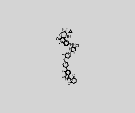 C[C@H]1CN(c2ncc(Cl)c(Nc3ccc4c(c3)c3c(c(=O)n4C)OCC(F)(F)[C@H](C4CC4)N3)n2)CC[C@H]1CN1CCC(c2ccc3c(N4C(=O)CCCC4=O)nn(C)c3c2F)CC1